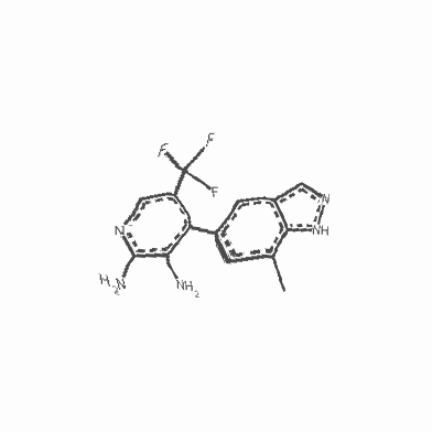 Cc1cc(-c2c(C(F)(F)F)cnc(N)c2N)cc2cn[nH]c12